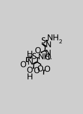 CON=C(C(=O)NC1S[C@@H]2CC(=O)N2C(C(=O)O)=C1COC(C)=O)c1csc(N)n1